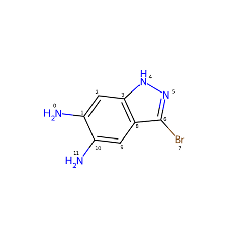 Nc1cc2[nH]nc(Br)c2cc1N